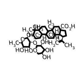 C=C(C)[C@@H]1CC[C@]2(C(=O)O)CC[C@]3(C)[C@H](CC[C@@H]4[C@@]5(C)CC[C@H](O[C@@H]6O[C@H](C)[C@@H](O)[C@H](O)[C@H]6O[C@@H]6OC[C@H](O)[C@H](O)[C@H]6O)C(C)(C)[C@@H]5CC[C@]43C)[C@@H]12